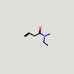 [CH]=CCC(=O)N(C)CC